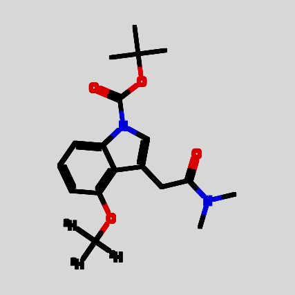 [2H]C([2H])([2H])Oc1cccc2c1c(CC(=O)N(C)C)cn2C(=O)OC(C)(C)C